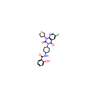 O=C(NC1CCC(n2c(=O)c3cc(F)cnc3n(C3CCSC3)c2=O)CC1)c1ccccc1O